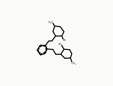 CC1CCC(C(C)C)C(CCc2ccccc2CCC2CC(C)CCC2C(C)C)C1